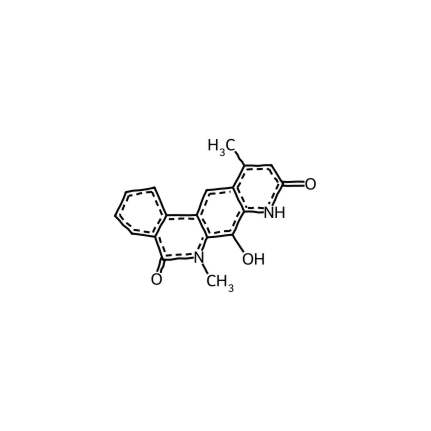 Cc1cc(=O)[nH]c2c(O)c3c(cc12)c1ccccc1c(=O)n3C